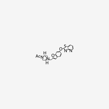 CC(=O)N1C[C@H]2C[C@@H]1CN2Cc1cc2ccc(Oc3nc4ncccc4s3)cc2o1